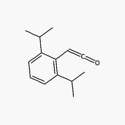 CC(C)c1cccc(C(C)C)c1C=C=O